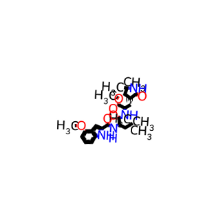 COC(=O)C(C[C@@H]1CC(C)(C)NC1=O)NC(=O)C(CC(C)(C)C)NC(=O)c1cc2c(OC)cccc2[nH]1